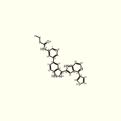 CCCC(=O)Nc1cncc(-c2ccc3[nH]nc(-c4cc5c(-c6ccsc6)nccc5[nH]4)c3c2)c1